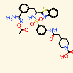 CC(=O)ON=C(N)c1cccc(CC(NS(=O)(=O)c2cccc(NC(=O)CC3CCN(C(=O)O)CC3)c2)c2nc3ccccc3s2)c1